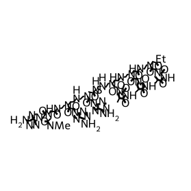 CCC(=O)CN(CCNC(=O)CN(CCNC(=O)CN(CCNSNC(=O)CN(CCNC(=O)CN(CCNC(=O)CN(CC(=O)NC)C(=O)Cn1cnc2c(N)ncnc21)C(=O)Cn1cnc2c(N)ncnc21)C(=O)Cn1cnc2c(N)ncnc21)C(=O)Cn1cc(C)c(=O)[nH]c1=O)C(=O)Cn1cc(C)c(=O)[nH]c1=O)C(=O)Cn1cc(C)c(=O)[nH]c1=O